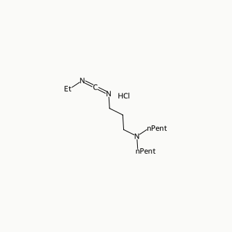 CCCCCN(CCCCC)CCCN=C=NCC.Cl